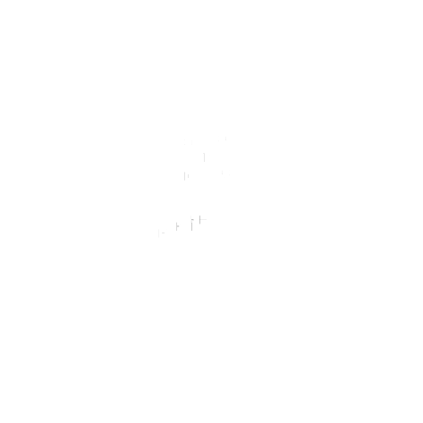 CCCCCCOP(=O)(O)O.[KH].[KH].[KH]